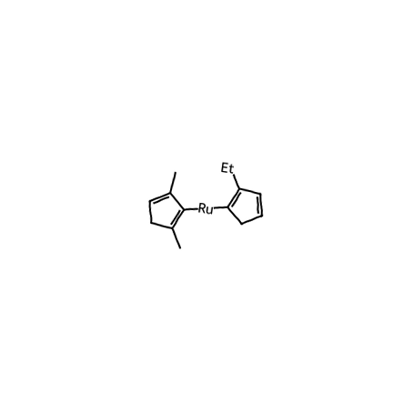 CCC1=[C]([Ru][C]2=C(C)CC=C2C)CC=C1